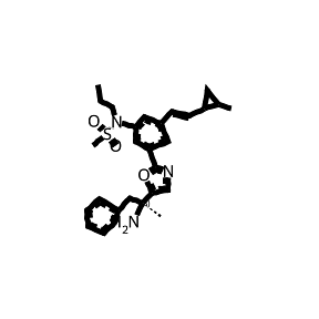 CCCN(c1cc(C=CC2CC2C)cc(-c2ncc([C@@](C)(N)Cc3ccccc3)o2)c1)S(C)(=O)=O